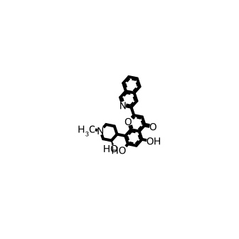 CN1CCC(c2c(O)cc(O)c3c(=O)cc(-c4cc5ccccc5cn4)oc23)[C@@H](O)C1